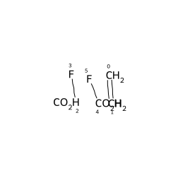 C=C.O=C(O)F.O=C(O)F